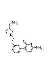 NCC1CCN(CCc2cccc(-n3ccc(N)nc3=O)c2)C1